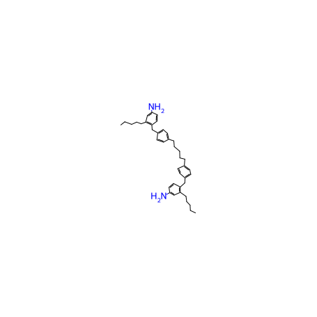 CCCCCc1cc(N)ccc1Cc1ccc(CCCCCc2ccc(Cc3ccc(N)cc3CCCCC)cc2)cc1